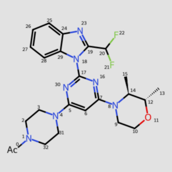 CC(=O)N1CCN(c2cc(N3CCO[C@@H](C)[C@@H]3C)nc(-n3c(C(F)F)nc4ccccc43)n2)CC1